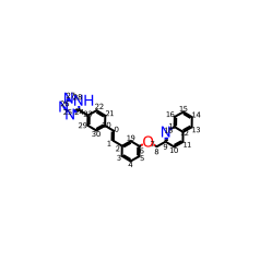 C(=Cc1cccc(OCc2ccc3ccccc3n2)c1)c1ccc(-c2nnn[nH]2)cc1